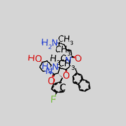 CN(C(=O)/C=C/CC(C)(C)N)[C@H](Cc1ccc2ccccc2c1)C(=O)C(C)(N)[C@H](Cc1ccc(F)cc1)C(=O)N1CCC(O)CC1